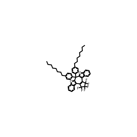 CCCCCCCCc1ccc(C2(c3ccc(CCCCCCCC)cc3)c3oc4ccccc4c3C3=C(c4c2oc2ccccc42)C(F)(F)C(F)(F)C3(F)F)cc1